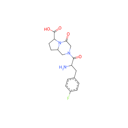 NC(Cc1ccc(F)cc1)C(=O)N1CC(=O)N2C(CCC2C(=O)O)C1